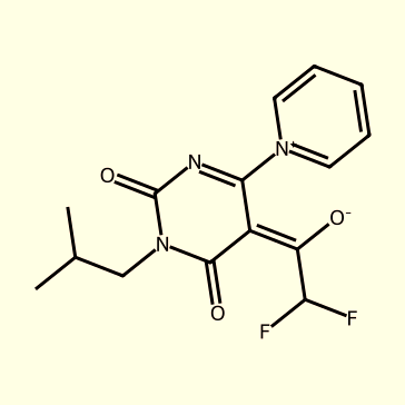 CC(C)CN1C(=O)N=C([n+]2ccccc2)/C(=C(\[O-])C(F)F)C1=O